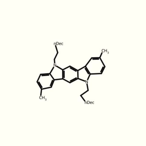 CCCCCCCCCCCCn1c2ccc(C)cc2c2cc3c(cc21)c1cc(C)ccc1n3CCCCCCCCCCCC